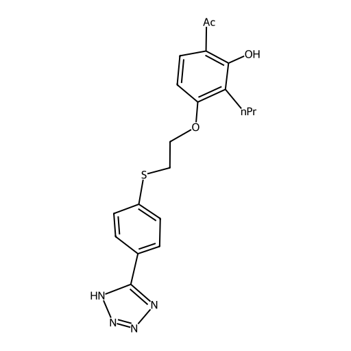 CCCc1c(OCCSc2ccc(-c3nnn[nH]3)cc2)ccc(C(C)=O)c1O